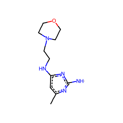 Cc1cc(NCCN2CCOCC2)nc([NH])n1